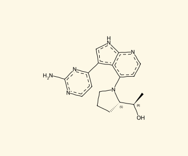 C[C@@H](O)[C@@H]1CCCN1c1ccnc2[nH]cc(-c3ccnc(N)n3)c12